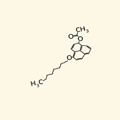 CCCCCCCCOc1ccc2cccc3c2c1C=CC3OC(C)=O